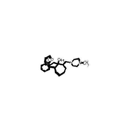 CN1CCN(CC2CCCCC(=Cc3ccco3)C2(O)Cc2ccccc2Cl)CC1